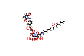 CCCCCCC(=O)CCCCCC/C=C/C[C@@H](O)[C@H](O)[C@](CO)(NC(=O)OCOC(=O)C1CCC(CN2C(=O)CC(S)C2=O)CC1)C(=O)O